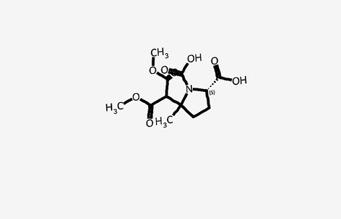 COC(=O)C(C(=O)OC)C1(C)CC[C@@H](C(=O)O)N1C(=O)O